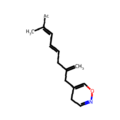 C=C(C/C=C/C=C(\C)C(C)=O)CC1=CON=CC1